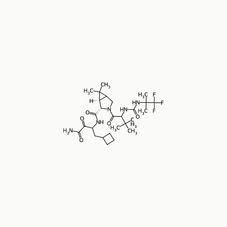 CC(C)(C)C(NC(=O)NC(C)(C)C(F)(F)F)C(=O)N1CC2[C@@H]([C@H]1C(=O)NC(CC1CCC1)C(=O)C(N)=O)C2(C)C